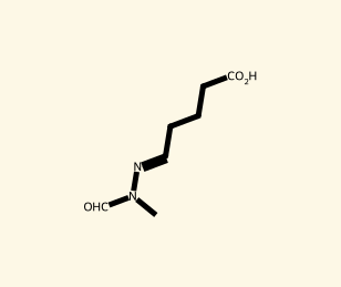 CN(C=O)N=CCCCC(=O)O